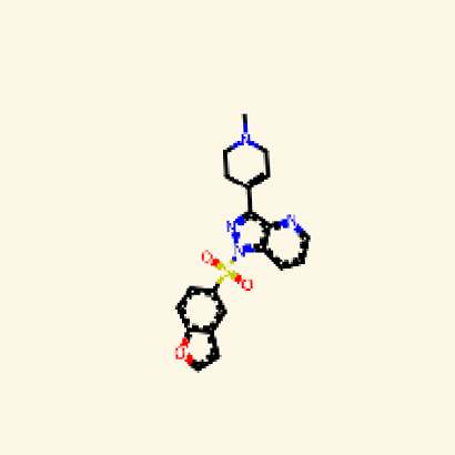 CN1CC=C(c2nn(S(=O)(=O)c3ccc4occc4c3)c3cccnc23)CC1